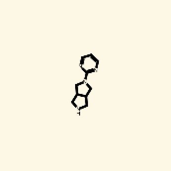 c1cnc(N2CC3CNCC3C2)nc1